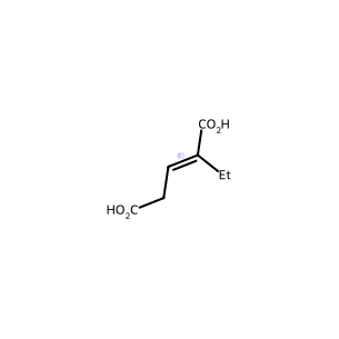 CC/C(=C\CC(=O)O)C(=O)O